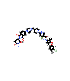 CC1(C)C(NC(=O)c2cnc(N3CCC(CN4CCN(c5ccc6c(c5)C(=O)N(C5CCC(=O)NC5=O)C6=O)CC4)CC3)cc2F)C(C)(C)C1Oc1ccc(C#N)c(Cl)c1